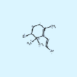 CCC1CCC(C)=C(C=CC(C)=O)C1(C)C